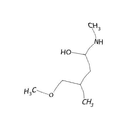 CNC(O)CC(C)COC